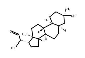 CC(C=O)[C@H]1CC[C@H]2[C@@H]3CC[C@@H]4C[C@](C)(O)CC[C@@H]4[C@H]3CC[C@]12C